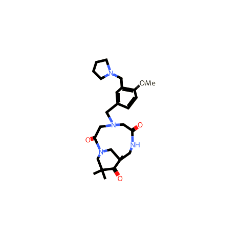 COc1ccc(CN2CC(=O)NCC3(C)CN(CC(C)(C)C3=O)C(=O)C2)cc1CN1CCCC1